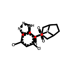 O=C(c1cnn[nH]1)N1CC2CCC(C1)N2S(=O)(=O)c1c(Cl)cc(Cl)cc1Cl